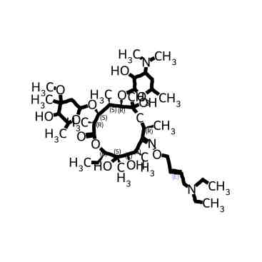 CC[C@H]1OC(=O)[C@H](C)[C@@H](OC2CC(C)(OC)C(O)C(C)O2)[C@H](C)[C@@H](OC2OC(C)CC(N(C)C)C2O)C(C)(O)C[C@@H](C)C(=NOC/C=C/CN(CC)CC)[C@H](C)[C@@H](O)[C@]1(C)O